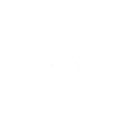 CC(C)OC(=O)[C@H](C)NP(=O)(OC[C@H]1OC2(F)C([C@@H]2n2cc(F)c(N)nc2=O)C1(C)COCc1ccccc1)Oc1ccccc1